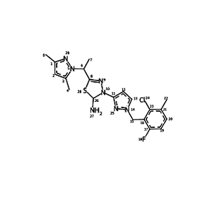 Cc1cc(C)n(C(C)C2=NN(c3ccn(Cc4c(F)ccc(C)c4Cl)n3)C(N)S2)n1